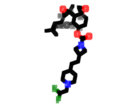 CO[C@H]1C([C@@]2(C)O[C@@H]2CC=C(C)C)[C@]2(CC[C@H]1OC(=O)N1CC(CCC3CCN(CC(F)F)CC3)C1)CO2